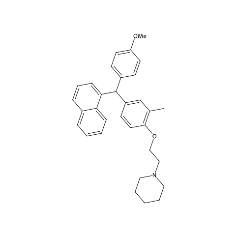 COc1ccc(C(c2ccc(OCCN3CCCCC3)c(C)c2)c2cccc3ccccc23)cc1